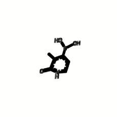 Cc1c(B(O)O)cc[nH]c1=O